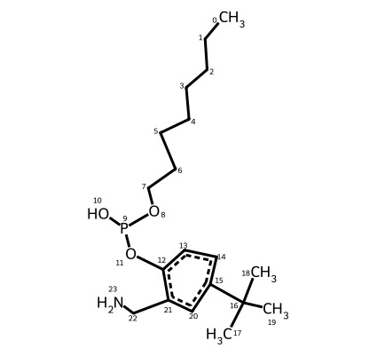 CCCCCCCCOP(O)Oc1ccc(C(C)(C)C)cc1CN